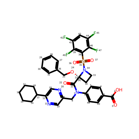 O=C(O)c1ccc(N(Cc2cnc(C3CCCCC3)cn2)C(=O)[C@]2(OCc3ccccc3)CCN2S(=O)(=O)c2c(F)c(F)cc(F)c2F)cc1